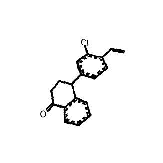 C=Cc1ccc(C2CCC(=O)c3ccccc32)cc1Cl